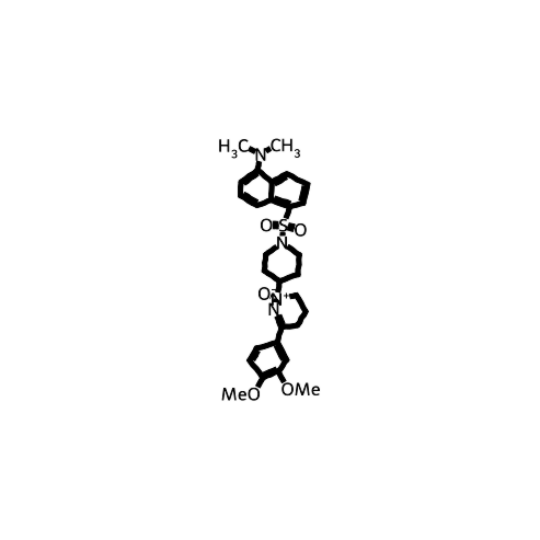 COc1ccc(C2=N[N+]([O-])(C3CCN(S(=O)(=O)c4cccc5c(N(C)C)cccc45)CC3)CCC2)cc1OC